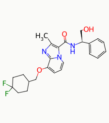 Cc1nc2c(OCC3CCC(F)(F)CC3)cccn2c1C(=O)N[C@@H](CO)c1ccccc1